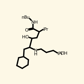 CCCCNC(=O)C(CC(O)C(CC1CCCCC1)NCCCC(C)C)C(C)C.Cl